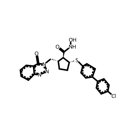 O=C(NO)[C@@H]1[C@@H](Cn2nnc3ccccc3c2=O)CC[C@H]1Sc1ccc(-c2ccc(Cl)cc2)cc1